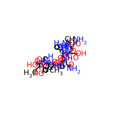 CSCC[C@H](NC(=O)[C@@H]1CCCN1C(=O)[C@H](Cc1ccc(O)cc1)NC(=O)[C@@H](NC(=O)[C@@H]1CCCN1C(=O)[C@H](CCC(N)=O)NC(=O)[C@H](Cc1c[nH]c2ccccc12)NC(=O)[C@H](CCC(=O)O)NC(=O)[C@H](CCC(N)=O)NC(=O)[C@H](C)N)C(C)C)C(=O)O